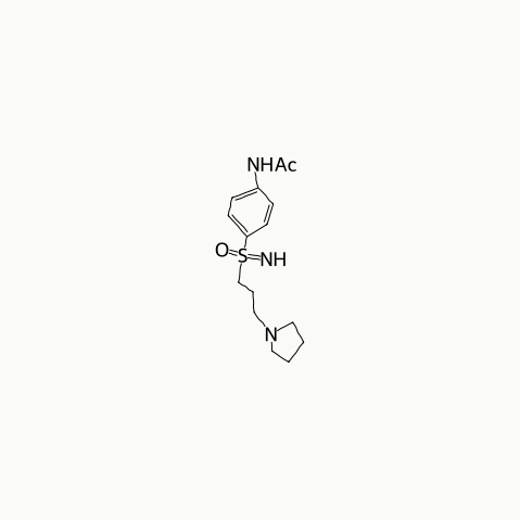 CC(=O)Nc1ccc(S(=N)(=O)CCCN2CCCC2)cc1